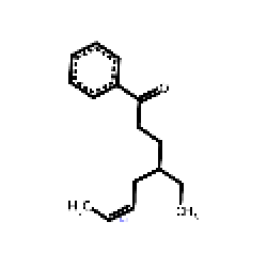 C/C=C\CC(CC)CCC(=O)c1ccccc1